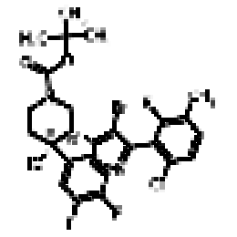 Cc1ccc(Cl)c(-c2noc([C@H]3CN(C(=O)OC(C)(C)C)CC[C@]3(O)c3ccc(F)c(F)c3)c2Br)c1F